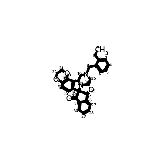 CCc1ccccc1CN1CCN(C2(c3ccc4c(c3)OCCO4)C(=O)c3ccccc3C2=O)CC1